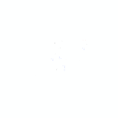 CCC(=O)CCCCC[C@H](NC(=O)CC1CC2(C1)CN(C(C)=O)C2)c1ncc(-c2ccccc2)[nH]1